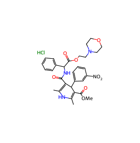 COC(=O)C1=C(C)NC(C)=C(C(=O)NC(C(=O)OCCN2CCOCC2)c2ccccc2)C1c1cccc([N+](=O)[O-])c1.Cl